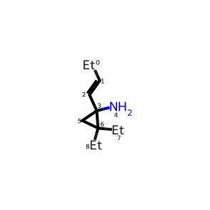 CCC=CC1(N)CC1(CC)CC